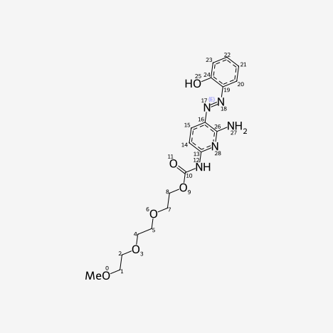 COCCOCCOCCOC(=O)Nc1ccc(/N=N/c2ccccc2O)c(N)n1